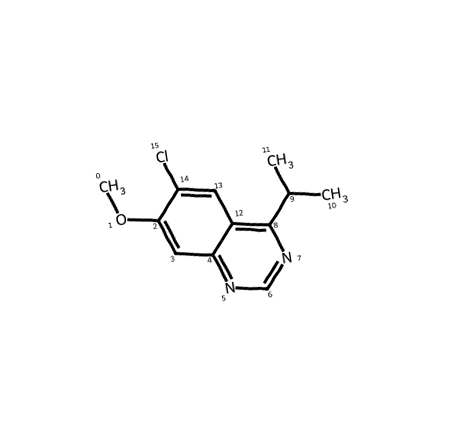 COc1cc2ncnc(C(C)C)c2cc1Cl